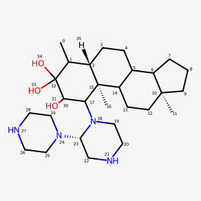 CC1[C@@H]2CCC3C4CCC[C@@]4(C)CCC3[C@@]2(C)C(N2CCNC[C@@H]2N2CCNCC2)C(O)C1(O)O